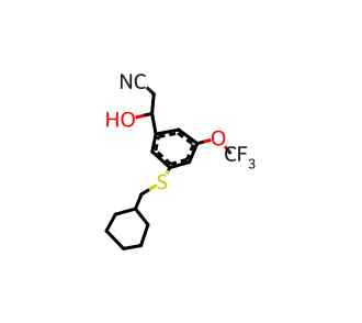 N#CCC(O)c1cc(OC(F)(F)F)cc(SCC2CCCCC2)c1